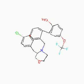 Oc1ccc(OC(F)(F)F)cc1-c1ccccc1CN1CCOCC1c1ccc(Cl)cc1